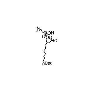 CCCCCCCCCCCCCCCCCC(COP(=O)(O)OCCN(C)C)CC(=O)CC